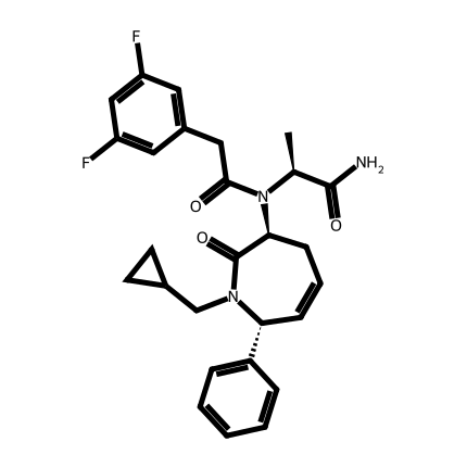 C[C@@H](C(N)=O)N(C(=O)Cc1cc(F)cc(F)c1)[C@H]1CC=C[C@H](c2ccccc2)N(CC2CC2)C1=O